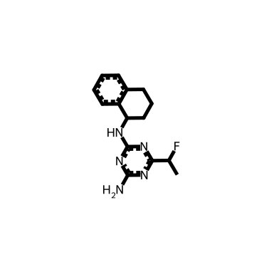 CC(F)c1nc(N)nc(NC2CCCc3ccccc32)n1